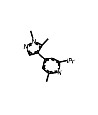 Cc1cc(-c2cnn(C)c2C)cc(C(C)C)n1